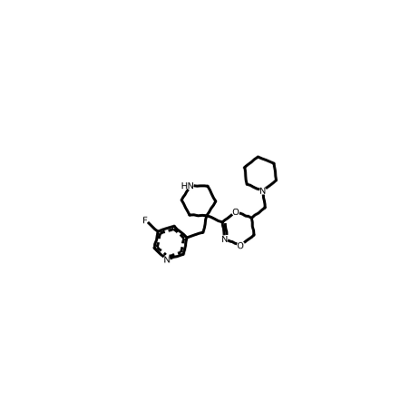 Fc1cncc(CC2(C3=NOCC(CN4CCCCC4)O3)CCNCC2)c1